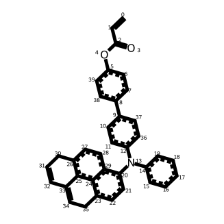 C=CC(=O)Oc1ccc(-c2ccc(N(c3ccccc3)c3ccc4c5c6c(ccc35)CC=CC6=CC4)cc2)cc1